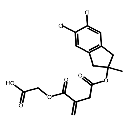 C=C(CC(=O)OC1(C)Cc2cc(Cl)c(Cl)cc2C1)C(=O)OCC(=O)O